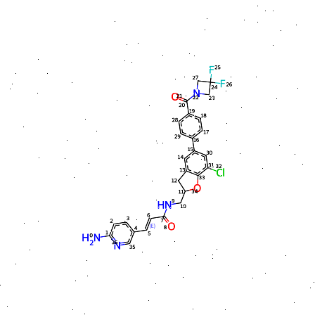 Nc1ccc(/C=C/C(=O)NCC2Cc3cc(-c4ccc(C(=O)N5CC(F)(F)C5)cc4)cc(Cl)c3O2)cn1